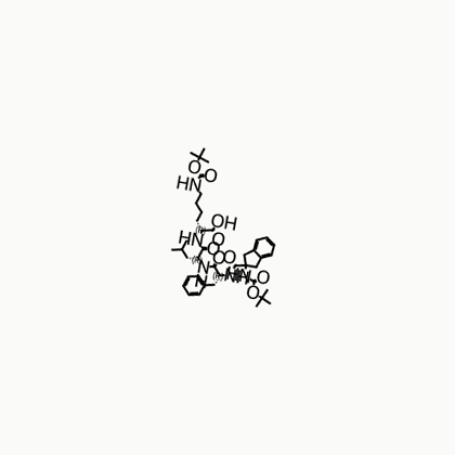 CC(C)C[C@@H](NC(=O)[C@@H](Cc1ccccc1)NC(=O)C1(NC(=O)OC(C)(C)C)Cc2ccccc2C1)C(=O)N[C@H](CCCCNC(=O)OC(C)(C)C)C(=O)O